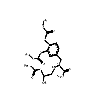 CCCOC(=O)Oc1ccc(C[C@H](NCC(C)OC(=O)C(C)CCC)C(=O)OC)cc1OC(=O)OCCC